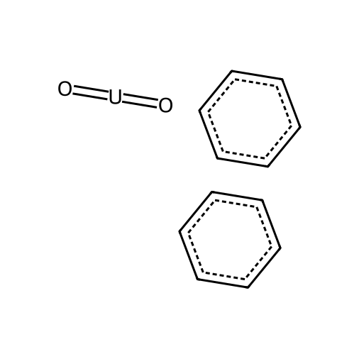 [O]=[U]=[O].c1ccccc1.c1ccccc1